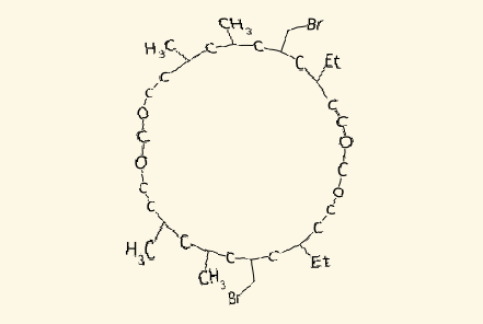 CCC1CCOCOCCC(CC)CC(CBr)CC(C)CC(C)CCOCOCCC(C)CC(C)CC(CBr)C1